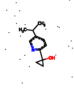 CC(C)c1ccc(C2(O)CC2)nc1